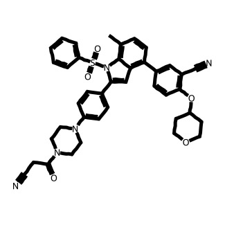 Cc1ccc(-c2ccc(OC3CCOCC3)c(C#N)c2)c2cc(-c3ccc(N4CCN(C(=O)CC#N)CC4)cc3)n(S(=O)(=O)c3ccccc3)c12